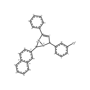 Clc1cccc(C2C=C(c3ccccc3)N3C(c4ccc5ccccc5c4)N23)c1